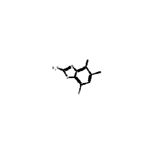 Cc1cc(F)c2sc(N)nc2c1C